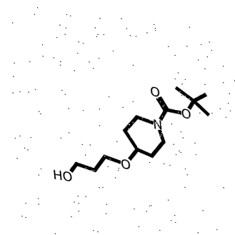 CC(C)(C)OC(=O)N1CCC(OCCCO)CC1